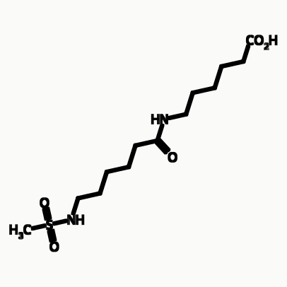 CS(=O)(=O)NCCCCCC(=O)NCCCCCC(=O)O